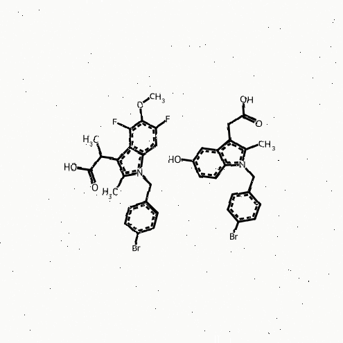 COc1c(F)cc2c(c1F)c(C(C)C(=O)O)c(C)n2Cc1ccc(Br)cc1.Cc1c(CC(=O)O)c2cc(O)ccc2n1Cc1ccc(Br)cc1